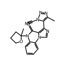 Cc1nnn(C#N)c1-c1ncn2c1c(=O)n(C1(C)CCCO1)c1ccccc12